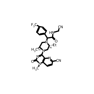 CC[C@@H]1CN(c2nc(=O)n(C)c3ccc(C#N)nc23)[C@@H](C)CN1C(C(=O)NCC#N)c1ccc(C(F)(F)F)cc1